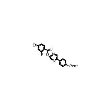 CCCCCc1ccc(-c2cnc(OC(=O)c3ccc(CC)cc3F)cn2)cc1